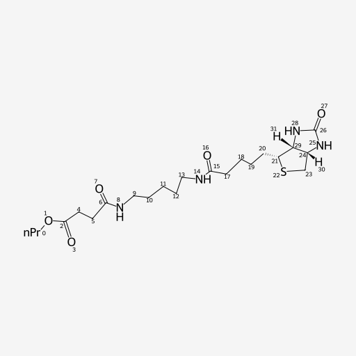 CCCOC(=O)CCC(=O)NCCCCCNC(=O)CCCC[C@H]1SC[C@H]2NC(=O)N[C@H]21